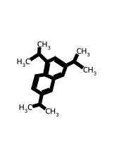 CC(C)c1[c]c(C(C)C)c2ccc(C(C)C)cc2c1